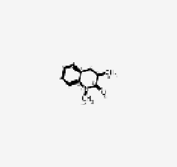 CC1Cc2ccccc2N(C)C1=O